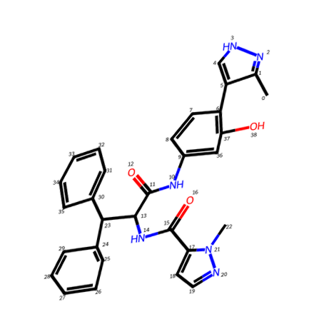 Cc1n[nH]cc1-c1ccc(NC(=O)C(NC(=O)c2ccnn2C)C(c2ccccc2)c2ccccc2)cc1O